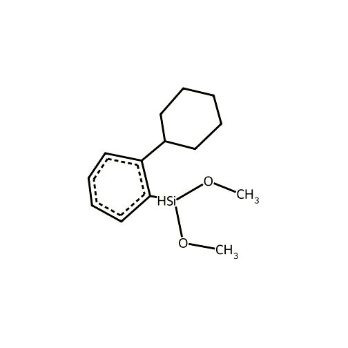 CO[SiH](OC)c1ccccc1C1CCCCC1